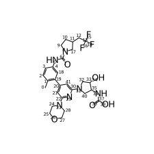 Cc1ccc(NC(=O)N2CCC(CC(F)(F)F)C2)cc1-c1cc(N2CCOCC2)nc(N2CC(O)C(NC(=O)O)C2)c1